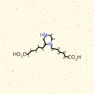 O=C(O)CCCCCC1CNCCN1CCCCCC(=O)O